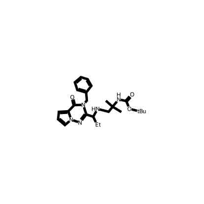 CCC(NCC(C)(C)NC(=O)OC(C)(C)C)c1nn2cccc2c(=O)n1Cc1ccccc1